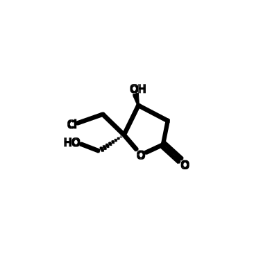 O=C1C[C@H](O)[C@](CO)(CCl)O1